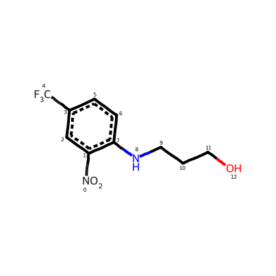 O=[N+]([O-])c1cc(C(F)(F)F)ccc1NCCCO